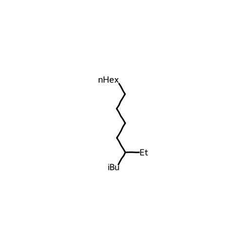 [CH2]CC(C)C(CC)CCCCCCCCCC